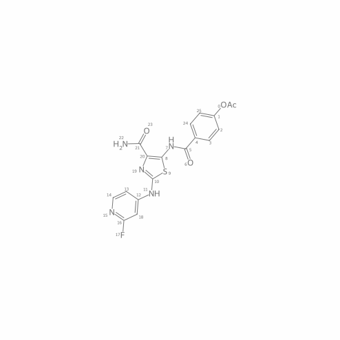 CC(=O)Oc1ccc(C(=O)Nc2sc(Nc3ccnc(F)c3)nc2C(N)=O)cc1